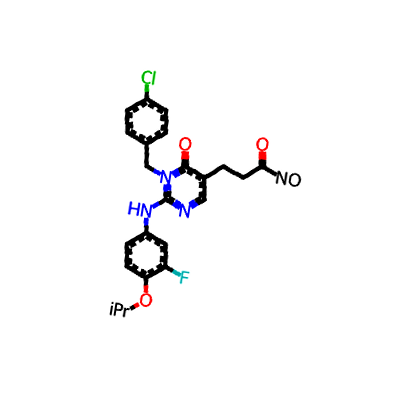 CC(C)Oc1ccc(Nc2ncc(CCC(=O)N=O)c(=O)n2Cc2ccc(Cl)cc2)cc1F